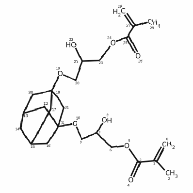 C=C(C)C(=O)OCC(O)COC12CC3CC(C1)CC(OCC(O)COC(=O)C(=C)C)(C3)C2